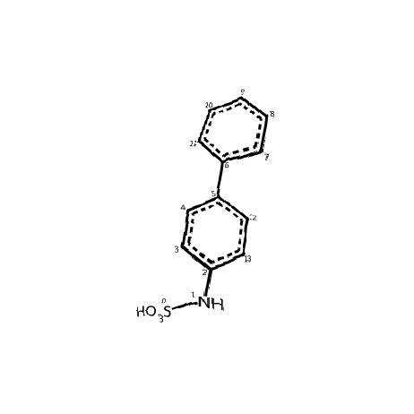 O=S(=O)(O)Nc1ccc(-c2ccccc2)cc1